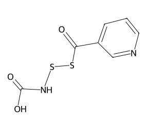 O=C(O)NSSC(=O)c1cccnc1